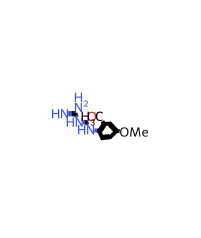 COc1ccc(NC(=O)NC(=N)N)c(C)c1